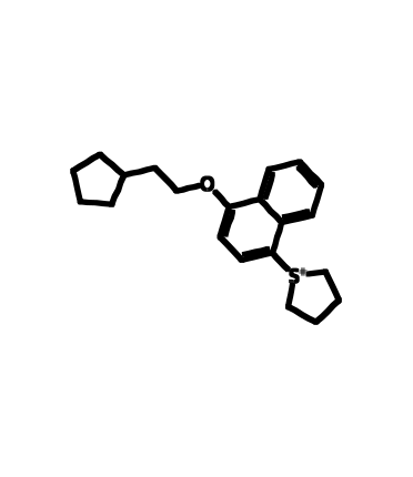 c1ccc2c([S+]3CCCC3)ccc(OCCC3CCCC3)c2c1